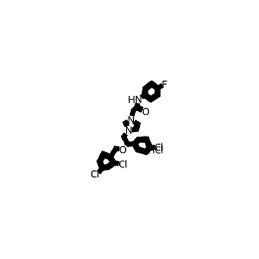 Cl.O=C(CN1C=CN(CC(OCc2ccc(Cl)cc2Cl)c2ccc(Cl)cc2)C1)Nc1ccc(F)cc1